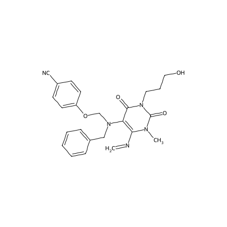 C=Nc1c(N(COc2ccc(C#N)cc2)Cc2ccccc2)c(=O)n(CCCO)c(=O)n1C